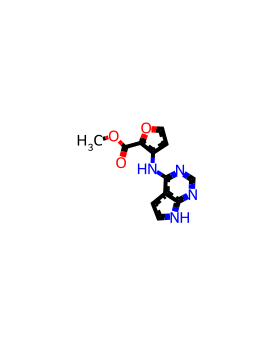 COC(=O)c1occc1Nc1ncnc2[nH]ccc12